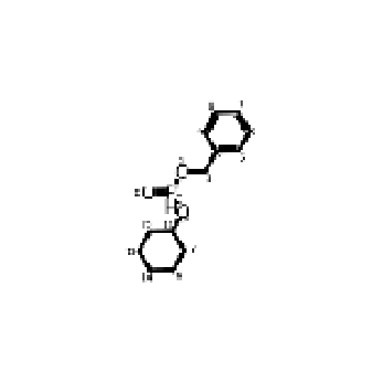 O=[PH](OCc1ccccc1)OC1CCCCC1